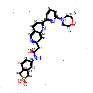 C[C@@H]1CN(c2cccc(-c3ccc4cnc(CC(=O)Nc5ccc6c(c5)CS(=O)(=O)C6)cc4n3)n2)C[C@H](C)O1